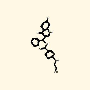 O=C(NC(c1ccccc1)c1c[nH]c2cc(Cl)ccc2c1=O)c1ccc(NCCO)nc1